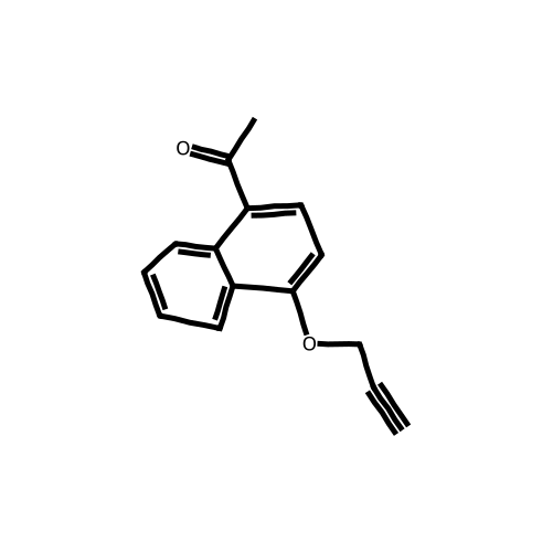 C#CCOc1ccc(C(C)=O)c2ccccc12